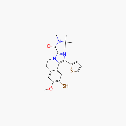 COc1cc2c(cc1S)-c1c(-c3cccs3)nc(C(=O)N(C)C(C)(C)C)n1CC2